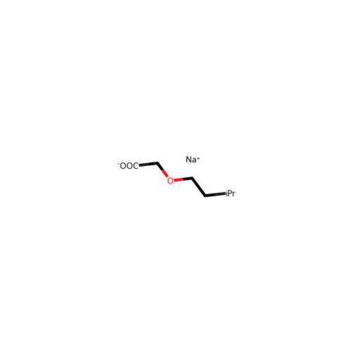 CC(C)CCOCC(=O)[O-].[Na+]